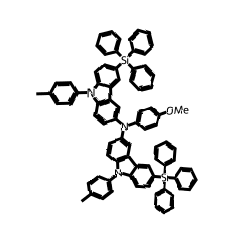 COc1ccc(N(c2ccc3c(c2)c2cc([Si](c4ccccc4)(c4ccccc4)c4ccccc4)ccc2n3-c2ccc(C)cc2)c2ccc3c(c2)c2cc([Si](c4ccccc4)(c4ccccc4)c4ccccc4)ccc2n3-c2ccc(C)cc2)cc1